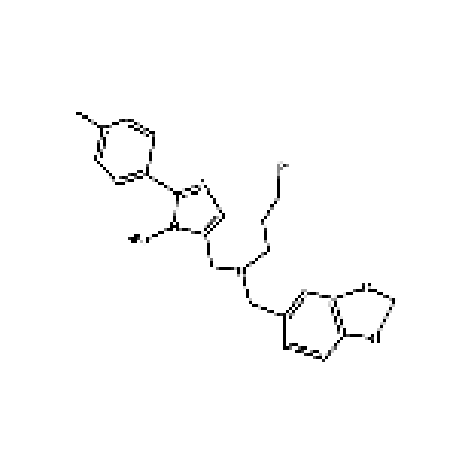 CCCCn1c(CN(CCCC(C)C)Cc2ccc3c(c2)OCO3)cnc1-c1ccc(F)cc1